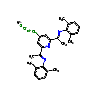 CC(=Nc1c(C)cccc1C)c1cc(Cl)cc(C(C)=Nc2c(C)cccc2C)n1.[Cl-].[Cl-].[Cl-].[V+3]